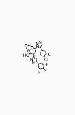 OC[C@H]1O[C@@H](n2nncc2-c2ccc(Cl)c(Cl)c2)C[C@@H](n2cc(-c3cc(F)c(F)c(F)c3)nn2)[C@H]1O